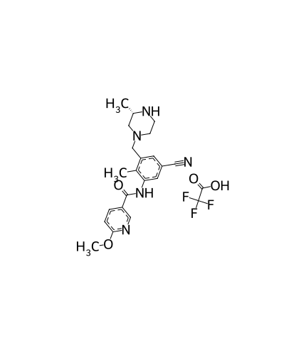 COc1ccc(C(=O)Nc2cc(C#N)cc(CN3CCN[C@@H](C)C3)c2C)cn1.O=C(O)C(F)(F)F